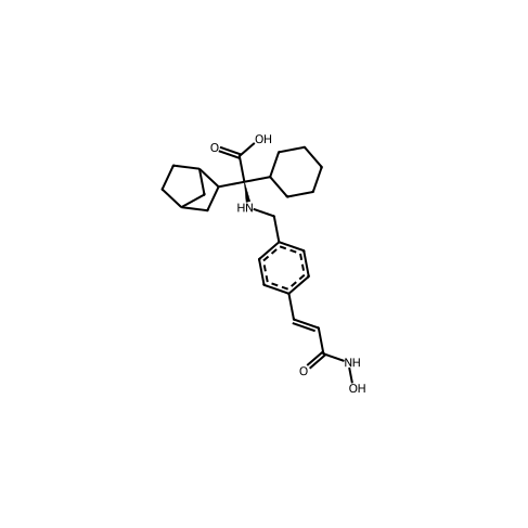 O=C(/C=C/c1ccc(CN[C@@](C(=O)O)(C2CCCCC2)C2CC3CCC2C3)cc1)NO